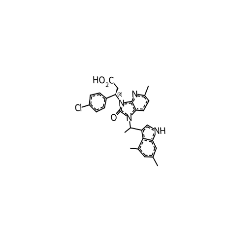 Cc1cc(C)c2c(C(C)n3c(=O)n([C@H](CC(=O)O)c4ccc(Cl)cc4)c4nc(C)ccc43)c[nH]c2c1